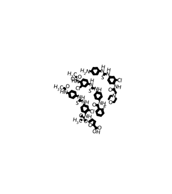 CC(=O)Nc1ccc(NC(=S)Nc2ccc(NS(C)(=O)=O)c(Cl)c2)cc1.CS(=O)(=O)Nc1ccc(NC(=S)Nc2ccc(NC(=O)c3ccccc3F)cc2)cc1Cl.Nc1ccc(NC(=S)Nc2ccc(NC(=O)CN3CCOCC3)c(Cl)c2)cc1.O=C(O)c1ccco1